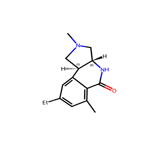 CCc1cc(C)c2c(c1)[C@H]1CN(C)C[C@@H]1NC2=O